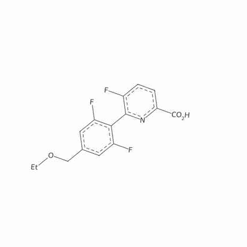 CCOCc1cc(F)c(-c2nc(C(=O)O)ccc2F)c(F)c1